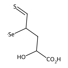 O=C(O)C(O)CC([Se])C=S